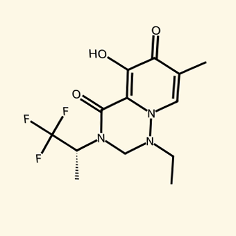 CCN1CN([C@H](C)C(F)(F)F)C(=O)c2c(O)c(=O)c(C)cn21